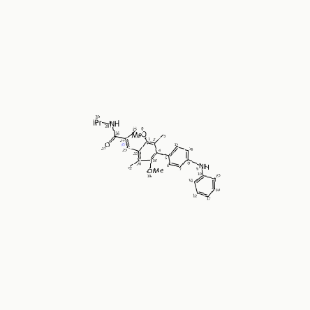 COc1c(C)c(-c2ccc(Nc3ccccc3)cc2)c(OC)c(C)c1/C=C(\C)C(=O)NC(C)C